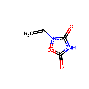 C=Cn1oc(=O)[nH]c1=O